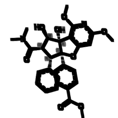 COC(=O)c1ccc([C@@]23Oc4cc(OC)nc(OC)c4[C@]2(O)[C@H](O)[C@H](C(=O)N(C)C)[C@H]3c2ccccc2)cc1